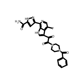 NC(=O)c1cc(-c2ncc(F)c3c(C(=O)C(=O)N4CCN(C(=O)c5ccccc5)CC4)c[nH]c23)n[nH]1